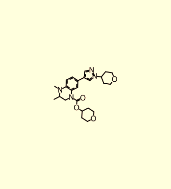 CC1CN(C(=O)OC2CCOCC2)c2cc(-c3cnn(C4CCOCC4)c3)ccc2N1C